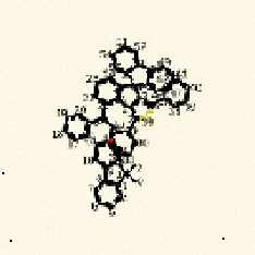 CC1(C)c2ccccc2-c2ccc(CC(c3ccccc3)c3cccc4c3-c3c(-c5ccccc5)sc(-c5ccccc5)c3C43c4ccccc4-c4ccccc43)cc21